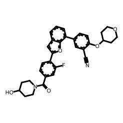 N#Cc1cc(-c2cccc3cc(-c4ccc(C(=O)N5CCC(O)CC5)cc4F)oc23)ccc1OC1CCOCC1